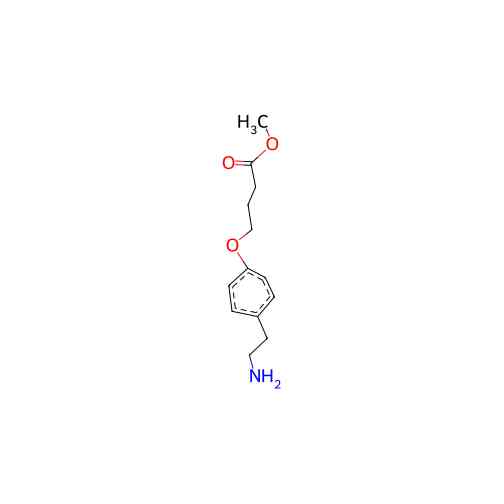 COC(=O)CCCOc1ccc(CCN)cc1